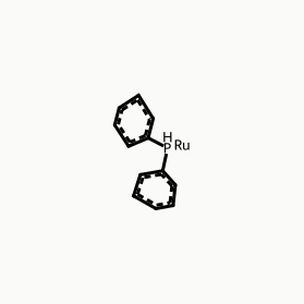 [Ru].c1ccc(Pc2ccccc2)cc1